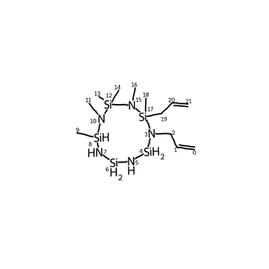 C=CCN1[SiH2]N[SiH2]N[SiH](C)N(C)[Si](C)(C)N(C)[Si]1(C)CC=C